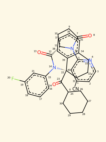 N#Cc1ccnc(N2C(=O)CC[C@H]2C(=O)N(c2cccc(F)c2)[C@@]2(C(=O)C3CCCCC3)CCCc3ccccc32)c1